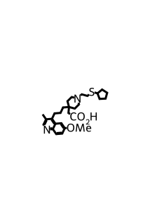 COc1ccc2ncc(C)c(CCCC3(CC(=O)O)CCN(CCSC4CCCC4)CC3)c2c1